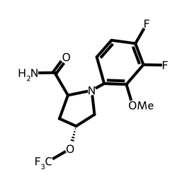 COc1c(N2C[C@H](OC(F)(F)F)CC2C(N)=O)ccc(F)c1F